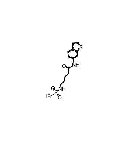 CC(C)S(=O)(=O)NCCCCC(=O)Nc1ccc2ccsc2c1